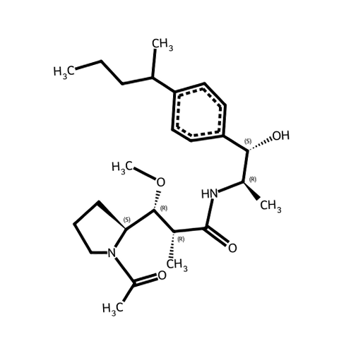 CCCC(C)c1ccc([C@H](O)[C@@H](C)NC(=O)[C@H](C)[C@@H](OC)[C@@H]2CCCN2C(C)=O)cc1